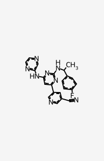 CC(Nc1nc(Nc2cnccn2)cc(-c2cncc(C#N)c2)n1)c1ccc(F)cc1